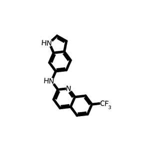 FC(F)(F)c1ccc2ccc(Nc3ccc4cc[nH]c4c3)nc2c1